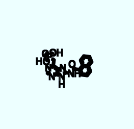 O=C(Nc1nc2c(CP(=O)(O)O)ncnc2[nH]1)c1cccc2ccccc12